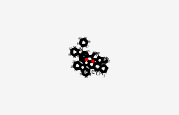 CC1(C)c2ccccc2C2(c3cc4c(cc31)C1(c3ccccc3-c3ccccc31)c1ccccc1-4)c1cccnc1-c1ncc(-c3ccc4c5ccccc5n(-c5ccccc5)c4c3)cc12